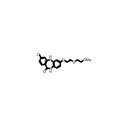 COCCOCCOc1ccc2c(c1)Nc1cc(Cl)ccc1C(=O)N2